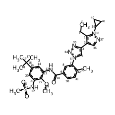 CCc1c(-c2cn(-c3cc(C(=O)Nc4cc(C(C)(C)C)cc(NS(C)(=O)=O)c4OC)ccc3C)nn2)cnn1C1CC1